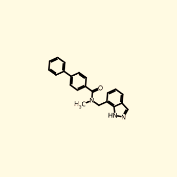 CN(Cc1cccc2cn[nH]c12)C(=O)c1ccc(-c2ccccc2)cc1